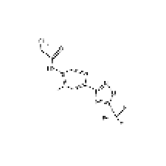 CCC(=O)Nc1ccc(-c2noc(C(F)(F)F)n2)cc1F